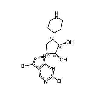 O[C@@H]1[C@H](O)[C@@H](C2CCNCC2)C[C@@H]1n1cc(Br)c2cnc(Cl)nc21